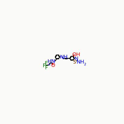 Nc1nc2c(O)cc(C#CCNc3cccc(CNC(=O)/C=C/C(F)(F)F)c3)cc2s1